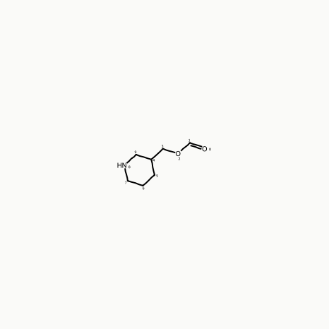 O=COCC1CCCNC1